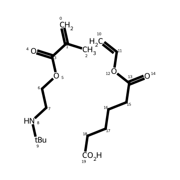 C=C(C)C(=O)OCCNC(C)(C)C.C=COC(=O)CCCCC(=O)O